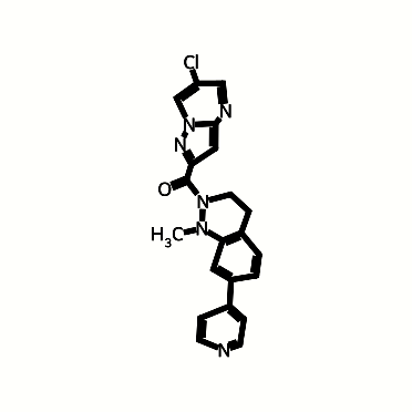 CN1c2cc(-c3ccncc3)ccc2CCN1C(=O)c1cc2ncc(Cl)cn2n1